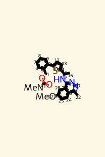 CNC(=O)OCc1ccccc1-c1ccc(C(C)Nc2nnc(C)c3ccc(OC)cc23)s1